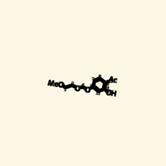 COCCOCOc1ccc(C(C)=O)c(O)c1